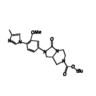 COc1cc(N2CC3CN(C(=O)OC(C)(C)C)CCN3C2=O)ccc1-n1cnc(C)c1